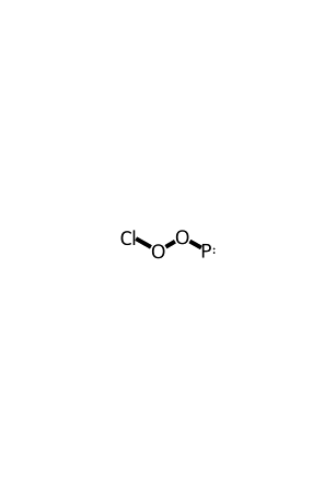 [P]OOCl